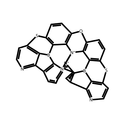 c1cc2c3[n+](c1)[N+]14c5c(ccc6c5B3c3c(ccnc3-2)S6)Oc2ccc3c(c21)B1c2c(ccnc2-c2ccc[n+]4c21)S3